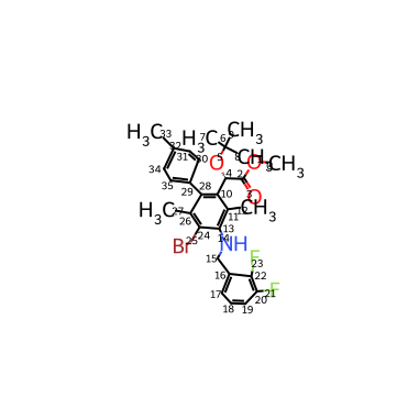 COC(=O)[C@@H](OC(C)(C)C)c1c(C)c(NCc2cccc(F)c2F)c(Br)c(C)c1-c1ccc(C)cc1